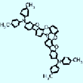 Cc1ccc(N(c2ccc(C)cc2)c2ccc3c(c2)oc2c4c(ccc23)B2c3ccc5c(oc6cc(N(c7ccc(C)cc7)c7ccc(C)cc7)ccc65)c3Oc3cccc(c32)O4)cc1